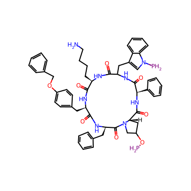 NCCCC[C@H]1NC(=O)C(Cc2cn(P)c3ccccc23)NC(=O)[C@@H](c2ccccc2)NC(=O)[C@@H]2CC(OP)CN2C(=O)[C@@H](Cc2ccccc2)NC(=O)[C@@H](Cc2ccc(OCc3ccccc3)cc2)NC1=O